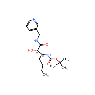 CCCC[C@H](NC(=O)OC(C)(C)C)[C@H](O)C(=O)NCc1cccnc1